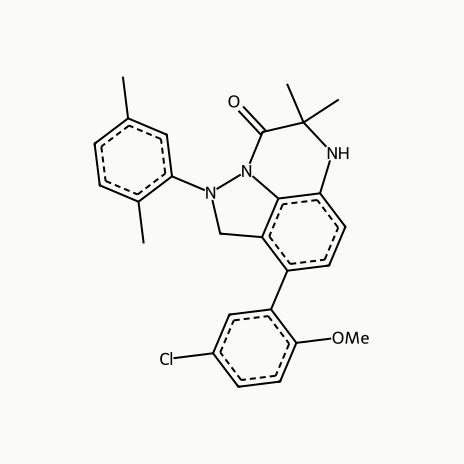 COc1ccc(Cl)cc1-c1ccc2c3c1CN(c1cc(C)ccc1C)N3C(=O)C(C)(C)N2